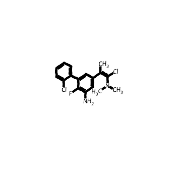 C/C(=C(\Cl)N(C)C)c1cc(N)c(F)c(-c2ccccc2Cl)c1